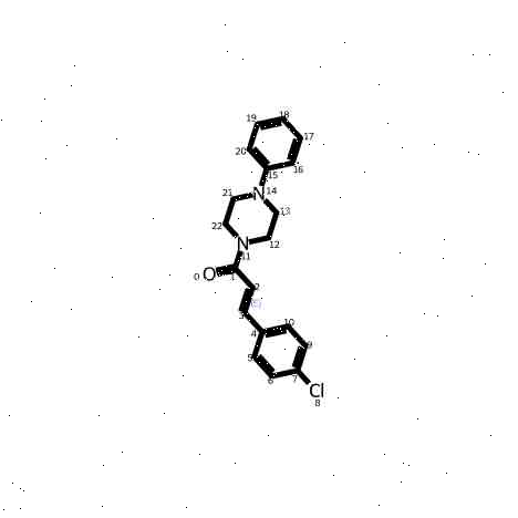 O=C(/C=C/c1ccc(Cl)cc1)N1CCN(c2[c]cccc2)CC1